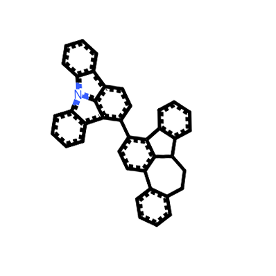 c1ccc2c(c1)CCC1c3ccccc3-c3c(-c4ccc5c6ccccc6n6c7ccccc7c4c56)ccc-2c31